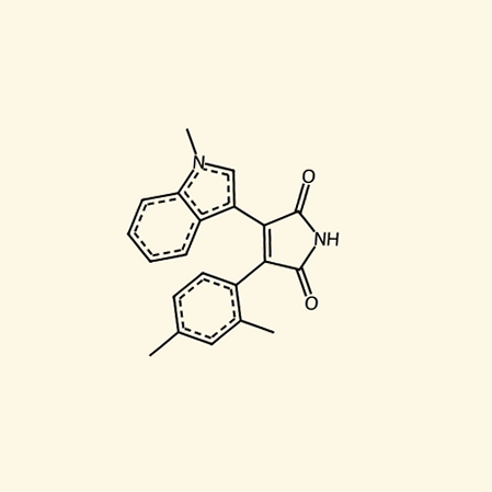 Cc1ccc(C2=C(c3cn(C)c4ccccc34)C(=O)NC2=O)c(C)c1